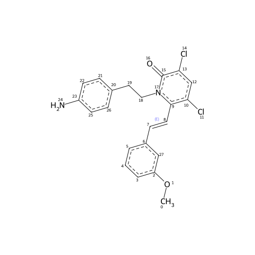 COc1cccc(/C=C/c2c(Cl)cc(Cl)c(=O)n2CCc2ccc(N)cc2)c1